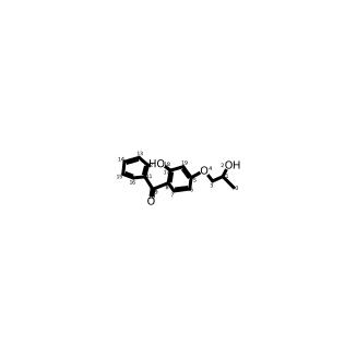 CC(O)COc1ccc(C(=O)c2ccccc2)c(O)c1